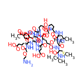 CSCC(NC(=O)CNC(=O)[C@H](CC(C)C)NC(=O)C1CCCN1C(=O)COCCNC(=O)[C@H](Cc1ccc(C(C)=O)cc1)NC(=O)[C@@H](CCCC(O)O)NC(=O)[C@@H](CCC(=O)O)NC(=O)[C@@H](CCC(=O)O)NC(=O)[C@@H](CCC(=O)O)NC(=O)[C@@H](CCCC(=O)O)NC(=O)COCCN)C(=O)NC(C)C